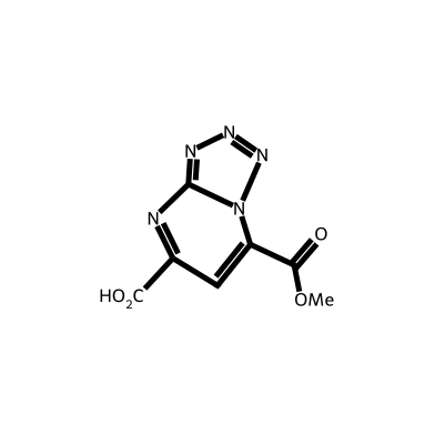 COC(=O)c1cc(C(=O)O)nc2nnnn12